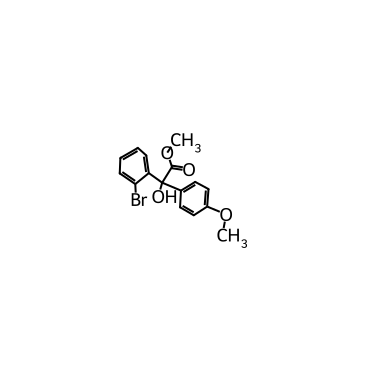 COC(=O)C(O)(c1ccc(OC)cc1)c1ccccc1Br